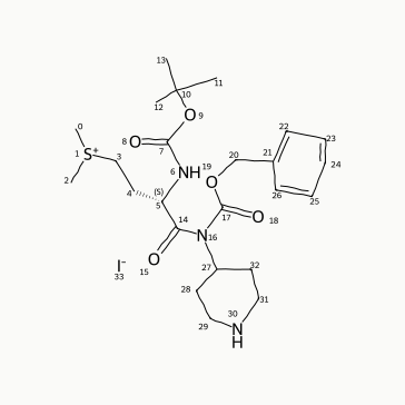 C[S+](C)CC[C@H](NC(=O)OC(C)(C)C)C(=O)N(C(=O)OCc1ccccc1)C1CCNCC1.[I-]